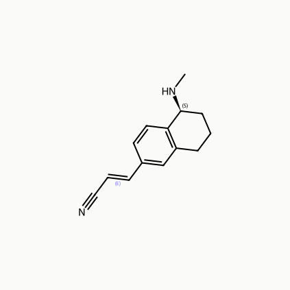 CN[C@H]1CCCc2cc(/C=C/C#N)ccc21